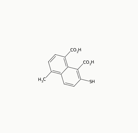 Cc1ccc(C(=O)O)c2c(C(=O)O)c(S)ccc12